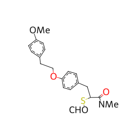 CNC(=O)C(Cc1ccc(OCCc2ccc(OC)cc2)cc1)SC=O